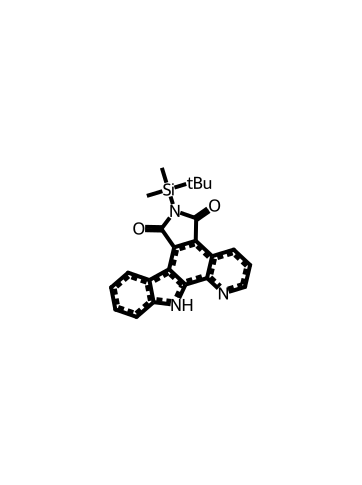 CC(C)(C)[Si](C)(C)N1C(=O)c2c(c3c4ccccc4[nH]c3c3ncccc23)C1=O